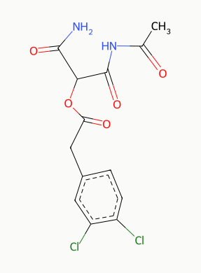 CC(=O)NC(=O)C(OC(=O)Cc1ccc(Cl)c(Cl)c1)C(N)=O